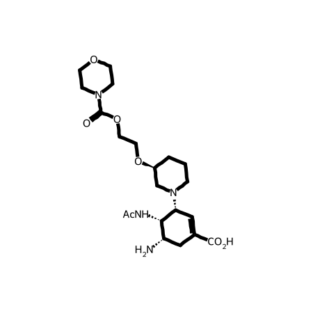 CC(=O)N[C@@H]1[C@H](N2CCC[C@H](OCCOC(=O)N3CCOCC3)C2)C=C(C(=O)O)C[C@@H]1N